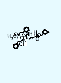 COC(=O)CCc1ccccc1NC(=O)[C@H](CCCNC(=O)OCc1ccccc1)NC(=O)C1Cc2ccccc2O1